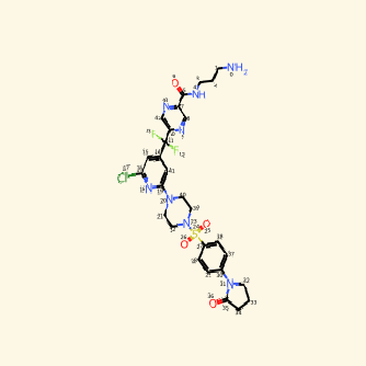 NCCCNC(=O)c1cnc(C(F)(F)c2cc(Cl)nc(N3CCN(S(=O)(=O)c4ccc(N5CCCC5=O)cc4)CC3)c2)cn1